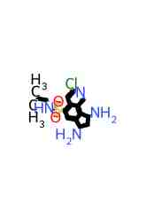 CC(C)CNS(=O)(=O)c1cc2c(c3cnc(Cl)cc13)[C@H](N)C[C@H]2N